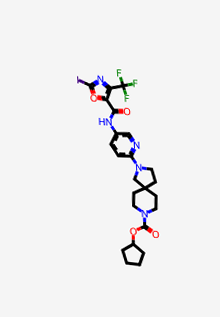 O=C(Nc1ccc(N2CCC3(CCN(C(=O)OC4CCCC4)CC3)C2)nc1)c1oc(I)nc1C(F)(F)F